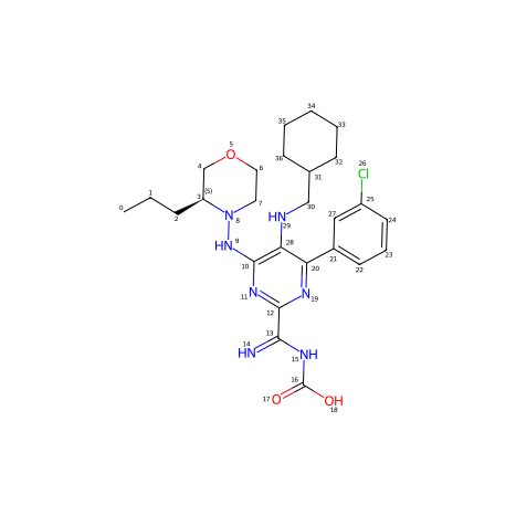 CCC[C@H]1COCCN1Nc1nc(C(=N)NC(=O)O)nc(-c2cccc(Cl)c2)c1NCC1CCCCC1